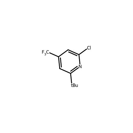 CC(C)(C)c1cc(C(F)(F)F)cc(Cl)n1